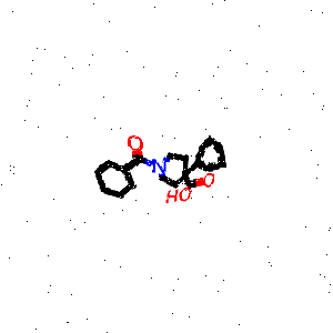 O=C(C1CCCCC1)N1CCC(C(=O)O)(c2ccccc2)CC1